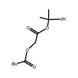 CCCC(C)(C)OC(=O)COC(=O)C(C)CC